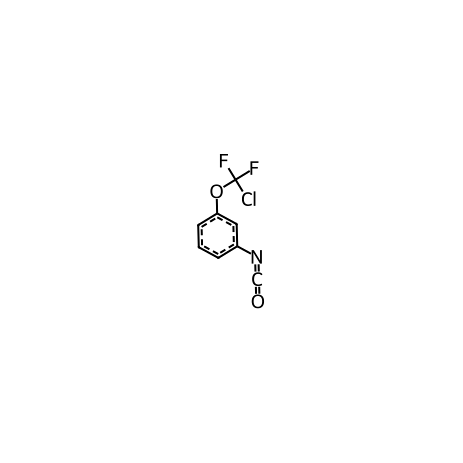 O=C=Nc1cccc(OC(F)(F)Cl)c1